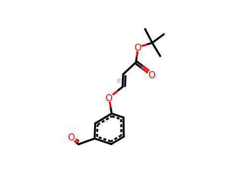 CC(C)(C)OC(=O)/C=C/Oc1cccc(C=O)c1